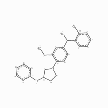 OCc1cc(C(O)c2ccccc2Cl)ccc1N1CCC(Oc2ccccn2)C1